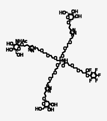 CC(=O)N[C@H]1[C@H](OCCc2cn(CCOCCOCCOCC(COCCOCCOCCn3cc(CCO[C@H]4C[C@@H](O)[C@@H](O)[C@@H](CO)O4)nn3)(COCCOCCOCCn3cc(CCO[C@H]4C[C@@H](O)[C@@H](O)[C@@H](CO)O4)nn3)NC(=O)CCOCCOCCC(=O)Oc3c(F)c(F)c(F)c(F)c3F)nn2)O[C@H](CO)[C@H](O)[C@@H]1O